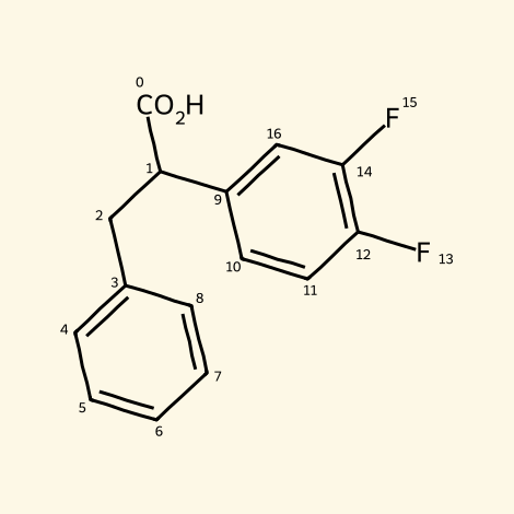 O=C(O)C(Cc1ccccc1)c1ccc(F)c(F)c1